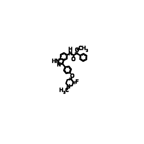 CO[C@@H](C(=O)Nc1ccc2[nH]nc(-c3ccc(O[C@@H]4CCN(C)C[C@H]4F)cc3)c2c1)c1ccccc1